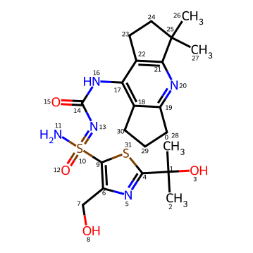 CC(C)(O)c1nc(CO)c(S(N)(=O)=NC(=O)Nc2c3c(nc4c2CCC4(C)C)CCC3)s1